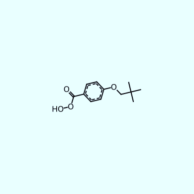 CC(C)(C)COc1ccc(C(=O)OO)cc1